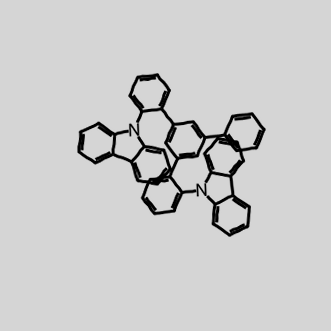 c1ccc(-c2cc(-c3ccccc3-n3c4ccccc4c4ccccc43)cc(-c3ccccc3-n3c4ccccc4c4ccccc43)c2)cc1